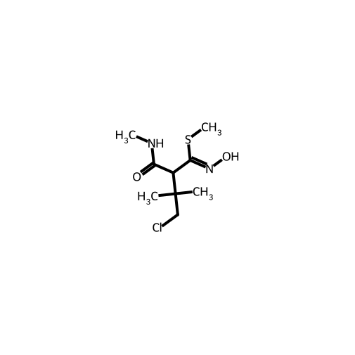 CNC(=O)C(C(=NO)SC)C(C)(C)CCl